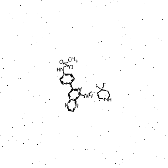 CS(=O)(=O)Nc1ccc(-c2cc3nccnc3c(NC[C@H]3CNCCC3(F)F)n2)cc1